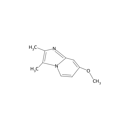 COc1ccn2c(C)c(C)nc2c1